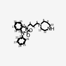 O=S1(=O)N(CCCN2CCCNCC2)c2ccccc2N1c1ccccc1